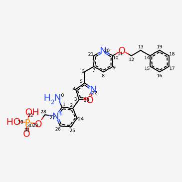 Nc1c(-c2cc(Cc3ccc(OCCc4ccccc4)nc3)no2)ccc[n+]1COP(=O)(O)O